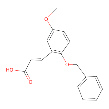 COc1ccc(OCc2ccccc2)c(C=CC(=O)O)c1